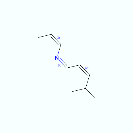 C\C=C/N=C\C=C/C(C)C